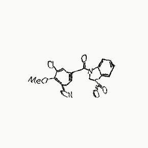 COc1c(Cl)cc(C(=O)N2CS(=O)(=O)c3ccccc32)cc1C#N